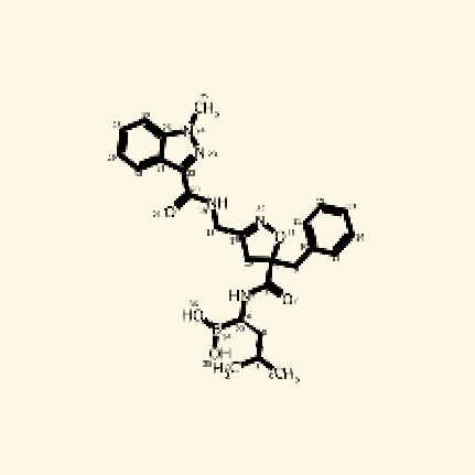 CC(C)C[C@H](NC(=O)C1(Cc2ccccc2)CC(CNC(=O)c2nn(C)c3ccccc23)=NO1)B(O)O